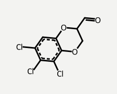 O=CC1COc2c(cc(Cl)c(Cl)c2Cl)O1